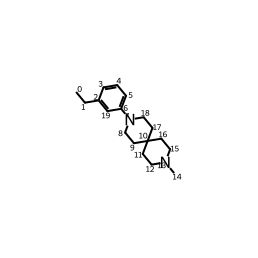 CCc1cccc(N2CCC3(CCN(C)CC3)CC2)c1